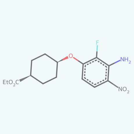 CCOC(=O)[C@H]1CC[C@@H](Oc2ccc([N+](=O)[O-])c(N)c2F)CC1